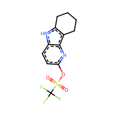 O=S(=O)(Oc1ccc2[nH]c3c(c2n1)CCCC3)C(F)(F)F